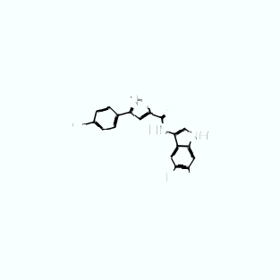 O=C(Nc1c[nH]c2cc(F)c(F)cc12)c1cc(-c2ccc(Cl)cc2)no1